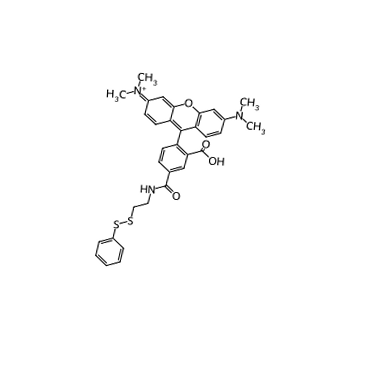 CN(C)c1ccc2c(-c3ccc(C(=O)NCCSSc4ccccc4)cc3C(=O)O)c3ccc(=[N+](C)C)cc-3oc2c1